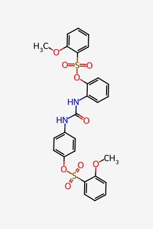 COc1ccccc1S(=O)(=O)Oc1ccc(NC(=O)Nc2ccccc2OS(=O)(=O)c2ccccc2OC)cc1